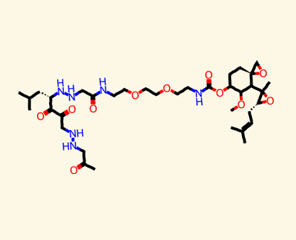 COC1C(OC(=O)NCCOCCOCCNC(=O)CNN[C@@H](CC(C)C)C(=O)C(=O)CNNCC(C)=O)CC[C@]2(CO2)C1C1(C)O[C@@H]1CC=C(C)C